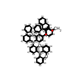 C=CC1=C(C=C)C2c3ccccc3C1c1cccc(-c3ccc4c(c3)[Si](c3ccccc3)(c3ccccc3)c3ccccc3N4c3cccc4c3OC3=C=C=CC5=C3B4c3ccccc3O5)c12